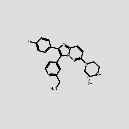 CC(C)[C@@H]1CN(c2ccc3nc(-c4ccc(F)cc4)c(-c4ccnc(CN)c4)n3n2)CCN1